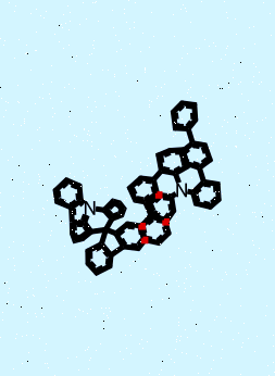 c1ccc(-c2ccc(-c3ccccc3N(c3ccc(-c4ccc5c(c4)C4(c6ccccc6-5)c5ccccc5-n5c6ccccc6c6cccc4c65)cc3)c3ccccc3-c3cccc(-c4ccccc4)c3)cc2)cc1